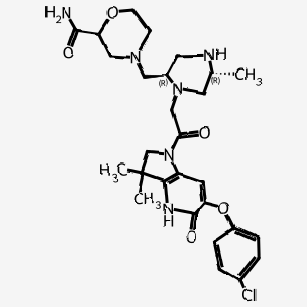 C[C@@H]1CN(CC(=O)N2CC(C)(C)c3[nH]c(=O)c(Oc4ccc(Cl)cc4)cc32)[C@@H](CN2CCOC(C(N)=O)C2)CN1